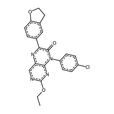 CCOc1ncc2nc(-c3ccc4c(c3)CCO4)c(=O)n(-c3ccc(Cl)cc3)c2n1